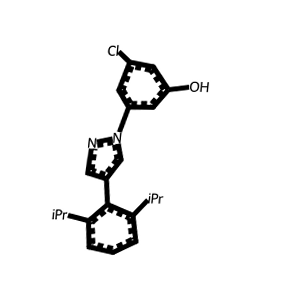 CC(C)c1cccc(C(C)C)c1-c1cnn(-c2cc(O)cc(Cl)c2)c1